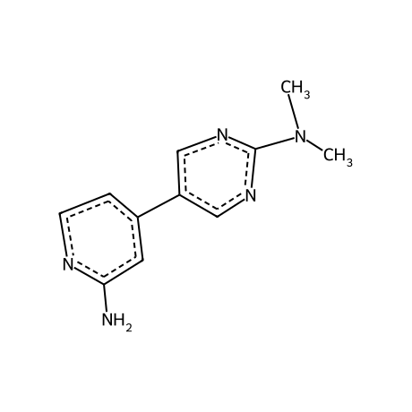 CN(C)c1ncc(-c2ccnc(N)c2)cn1